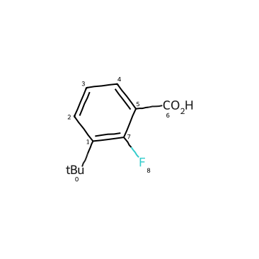 CC(C)(C)c1cccc(C(=O)O)c1F